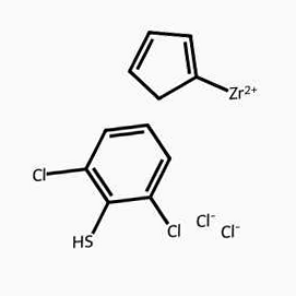 Sc1c(Cl)cccc1Cl.[Cl-].[Cl-].[Zr+2][C]1=CC=CC1